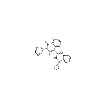 Cc1c(C(=O)N[C@H](c2ccccc2)C2CCC2)c2cccc(F)c2c(=O)n1-c1cccnc1